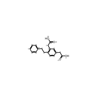 O=C(O)Cc1ccc(CCc2ccccc2)c(CC(=O)O)c1